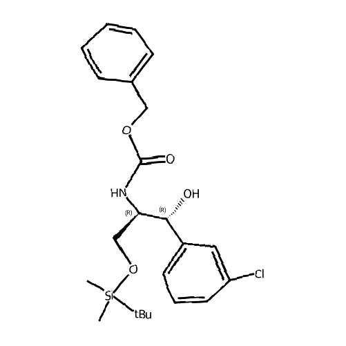 CC(C)(C)[Si](C)(C)OC[C@@H](NC(=O)OCc1ccccc1)[C@H](O)c1cccc(Cl)c1